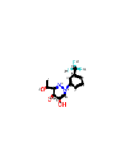 CC(=O)c1nn(-c2cccc(C(F)(F)F)c2)cc(O)c1=O